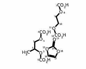 CC(COC(=O)O)OC(=O)O.O=C(O)OCCOC(=O)O.O=c1occo1